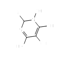 CC1=NC(F)N(C)C(C)=C1C